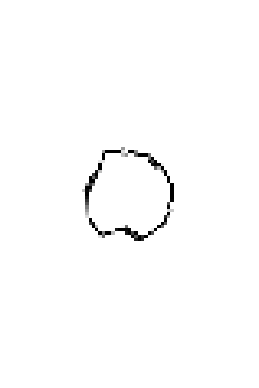 [C]1=C/CC/C=C/CCC/C=C\CC/1